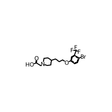 O=C(O)CN1CCC(CCCOc2ccc(Br)c(C(F)(F)F)c2)CC1